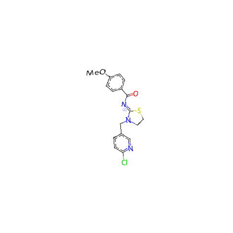 COc1ccc(C(=O)/N=C2\SCCN2Cc2ccc(Cl)nc2)cc1